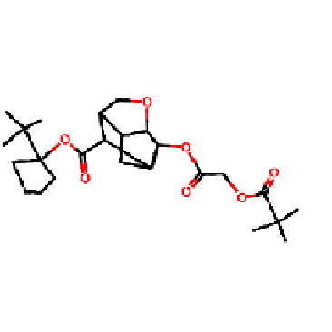 CC(C)(C)C(=O)OCC(=O)OC1C2CC3C(COC31)C2C(=O)OC1(C(C)(C)C)CCCC1